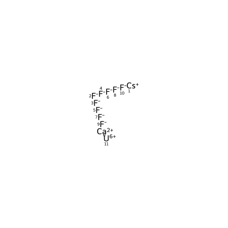 [Ca+2].[Cs+].[F-].[F-].[F-].[F-].[F-].[F-].[F-].[F-].[F-].[U+6]